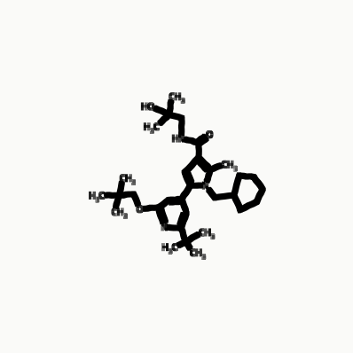 Cc1c(C(=O)NCC(C)(C)O)cc(-c2cc(OCC(C)(C)C)nc(C(C)(C)C)c2)n1CC1CCCCC1